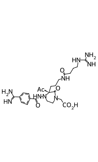 CC(=O)[C@@]1(CCCNC(=O)CCCNC(=N)N)C(=O)N(CC(=O)O)CCN1NC(=O)c1ccc(C(=N)N)cc1